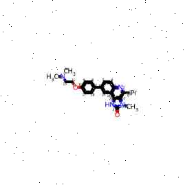 CC(C)c1nc2ccc(-c3ccc(OCCN(C)C)cc3)cc2c2[nH]c(=O)n(C)c12